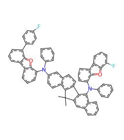 CC1(C)c2cc3ccccc3c(N(c3ccccc3)c3cccc4c3oc3c(F)cccc34)c2-c2ccc3cc(N(c4ccccc4)c4cccc5c4oc4c(-c6ccc(F)cc6)cccc45)ccc3c21